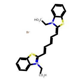 O=C(O)CN1C(=CC=CC=Cc2sc3ccccc3[n+]2CC(=O)O)Sc2ccccc21.[Br-]